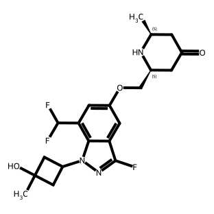 C[C@H]1CC(=O)C[C@@H](COc2cc(C(F)F)c3c(c2)c(F)nn3C2CC(C)(O)C2)N1